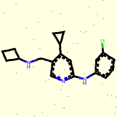 Clc1cccc(Nc2cc(C3CC3)c(CNC3CCC3)cn2)c1